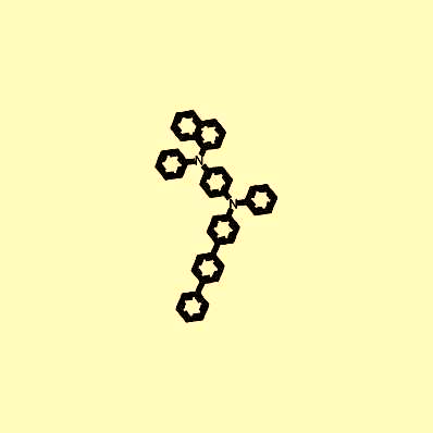 c1ccc(-c2ccc(-c3ccc(N(c4ccccc4)c4ccc(N(c5ccccc5)c5cccc6ccccc56)cc4)cc3)cc2)cc1